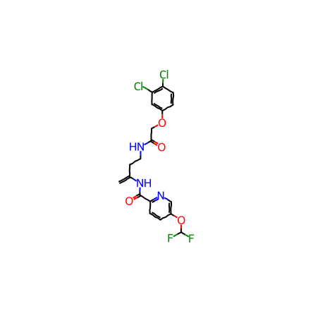 C=C(CCNC(=O)COc1ccc(Cl)c(Cl)c1)NC(=O)c1ccc(OC(F)F)cn1